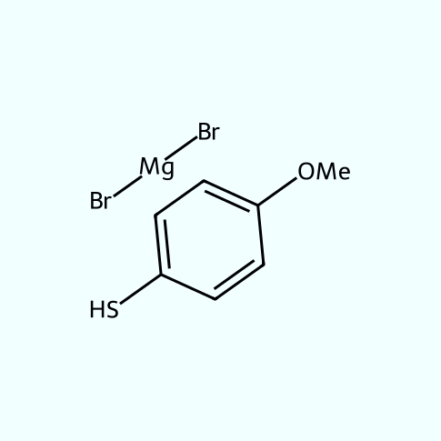 COc1ccc(S)cc1.[Br][Mg][Br]